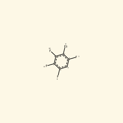 C[CH]c1c(F)cc(F)c(F)c1F